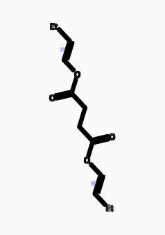 CC/C=C/OC(=O)CCC(=O)O/C=C/CC